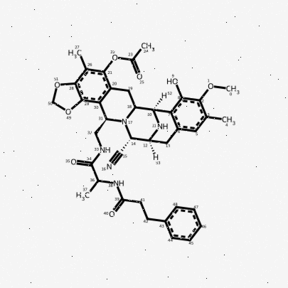 COc1c(C)cc2c(c1O)[C@H]1N[C@@H](C2)[C@H](C#N)N2C1Cc1c(OC(C)=O)c(C)c3c(c1[C@@H]2CNC(=O)C(C)NC(=O)CCc1ccccc1)OCO3